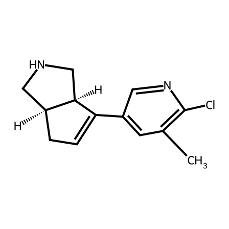 Cc1cc(C2=CC[C@H]3CNC[C@@H]23)cnc1Cl